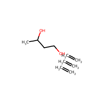 C=C.C=C.C=C.CC(O)CCO